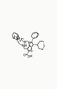 COCn1c(-c2ccccc2)c(C2CCCCC2)c2sc(C(=O)O)c(CNCc3ccccc3)c21